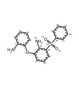 Nc1ccccc1Oc1cccc(S(=O)(=O)c2ccccc2)c1N